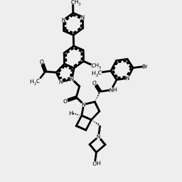 CC(=O)c1nn(CC(=O)N2[C@H](C(=O)Nc3nc(Br)ccc3C)C[C@@]3(CN4CC(O)C4)CC[C@@H]23)c2c(C)cc(-c3cnc(C)nc3)cc12